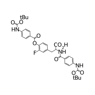 CC(C)(C)OC(=O)Nc1ccc(C(=O)NC(Cc2ccc(OC(=O)c3ccc(NC(=O)OC(C)(C)C)cc3)c(F)c2)C(=O)O)cc1